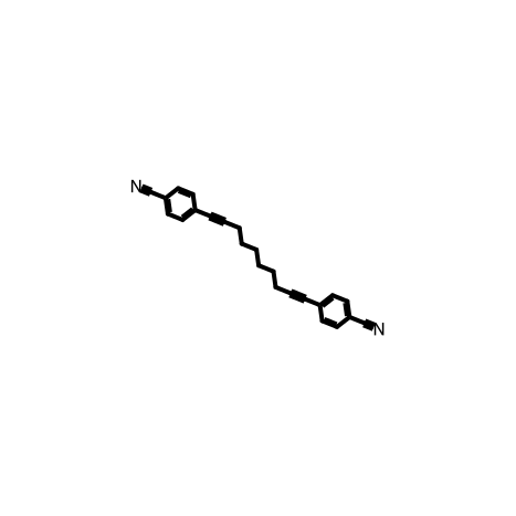 N#Cc1ccc(C#CCCCCCCC#Cc2ccc(C#N)cc2)cc1